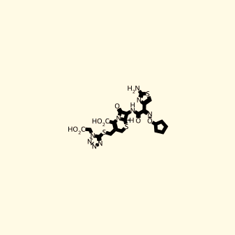 Nc1nc(/C(=N/OC2CCCC2)C(=O)NC2C(=O)N3C(C(=O)O)=C(CSc4nnnn4CC(=O)O)CS[C@H]23)cs1